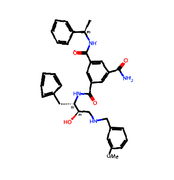 COc1cccc(CNC[C@@H](O)[C@H](Cc2ccccc2)NC(=O)c2cc(C(N)=O)cc(C(=O)N[C@H](C)c3ccccc3)c2)c1